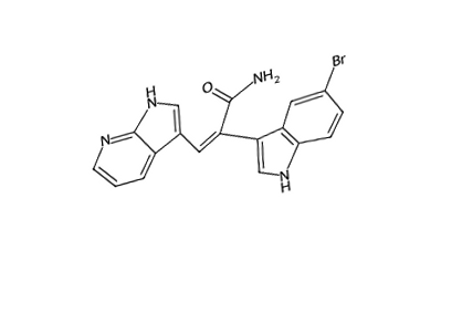 NC(=O)/C(=C\c1c[nH]c2ncccc12)c1c[nH]c2ccc(Br)cc12